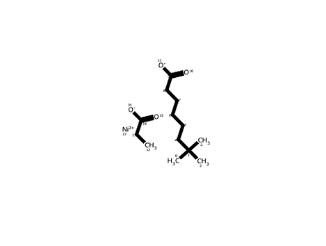 CC(C)(C)CCCCCC(=O)[O-].CCC(=O)[O-].[Ni+2]